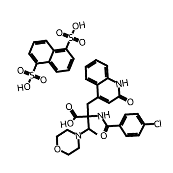 CC(N1CCOCC1)C(Cc1cc(=O)[nH]c2ccccc12)(NC(=O)c1ccc(Cl)cc1)C(=O)O.O=S(=O)(O)c1cccc2c(S(=O)(=O)O)cccc12